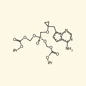 CC(C)OC(=O)OCOP(=O)(COC1(Cc2ccc3c(N)ncnn23)CC1)OCOC(=O)OC(C)C